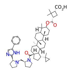 CC1([C@@H]2CC[C@]3(C(=O)N4CCC[C@H]4CN4CCC[C@H]4c4ncc(-c5ccccc5)[nH]4)CC[C@]4(C)[C@H](CC[C@@H]5[C@@]6(C)CC[C@H](OC(=O)[C@H]7C[C@@H](C(=O)O)C7(C)C)C(C)(C)[C@@H]6CC[C@]54C)[C@@H]23)CC1